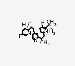 CC(C)c1nc(CC(C)c2cc(CC(C)c3ccc(F)cn3)ccn2)ccc1F